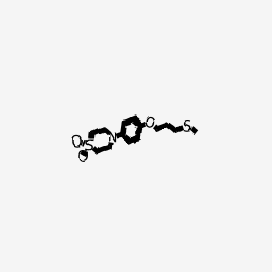 CSCCCOc1ccc(N2CCS(=O)(=O)CC2)cc1